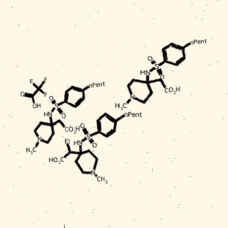 CCCCCc1ccc(S(=O)(=O)NC2(C(CC)C(=O)O)CCN(C)CC2)cc1.CCCCCc1ccc(S(=O)(=O)NC2(CC(=O)O)CCN(C)CC2)cc1.CCCCCc1ccc(S(=O)(=O)NC2(CC(=O)O)CCN(C)CC2)cc1.O=C(O)C(F)(F)F